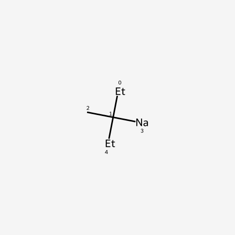 CC[C](C)([Na])CC